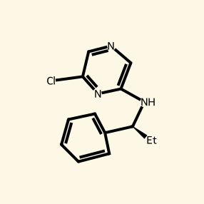 CC[C@H](Nc1cncc(Cl)n1)c1ccccc1